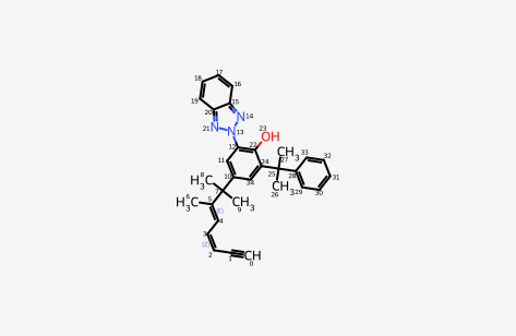 C#C/C=C\C=C(/C)C(C)(C)c1cc(-n2nc3ccccc3n2)c(O)c(C(C)(C)c2ccccc2)c1